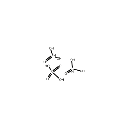 O=S(=O)(O)O.O=[PH](O)O.O=[PH](O)O